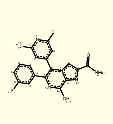 CNC(=O)c1cn2c(-c3cc(C)nc(C(F)(F)F)c3)c(-c3cccc(F)c3)nc(N)c2n1